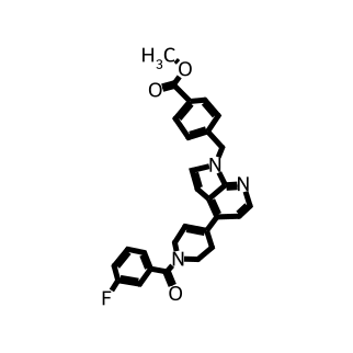 COC(=O)c1ccc(Cn2ccc3c(C4=CCN(C(=O)c5cccc(F)c5)CC4)ccnc32)cc1